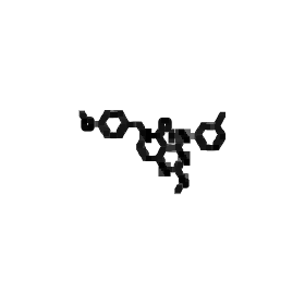 COc1ccc(Cn2ccc3nc(SC)nc(Nc4cccc(C)c4)c3c2=O)cc1